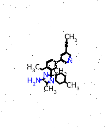 CC#Cc1cncc(-c2ccc(CC)c(C3(C4(C)CCC(C)CC4)N=C(C)C(N)=N3)c2)c1